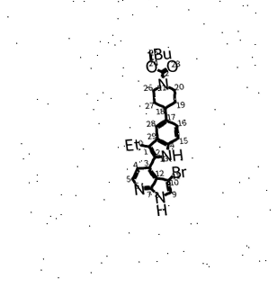 CCc1c(-c2ccnc3[nH]cc(Br)c23)[nH]c2ccc(C3CCN(C(=O)OC(C)(C)C)CC3)cc12